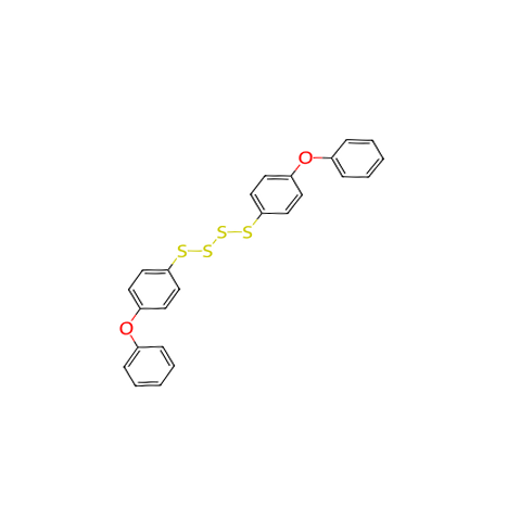 c1ccc(Oc2ccc(SSSSc3ccc(Oc4ccccc4)cc3)cc2)cc1